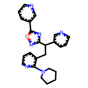 c1cncc(-c2nc(C(Cc3cccnc3N3CCCCC3)c3cccnc3)no2)c1